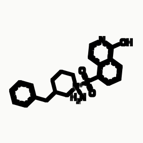 N[N+]1(S(=O)(=O)c2cccc3c(O)nccc23)CCCC(Cc2ccccc2)C1